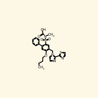 CCCCOc1cc(-c2ccccc2)c(S(=O)(=O)N(C)C(=O)O)cc1Cn1ccnc1-c1nccs1